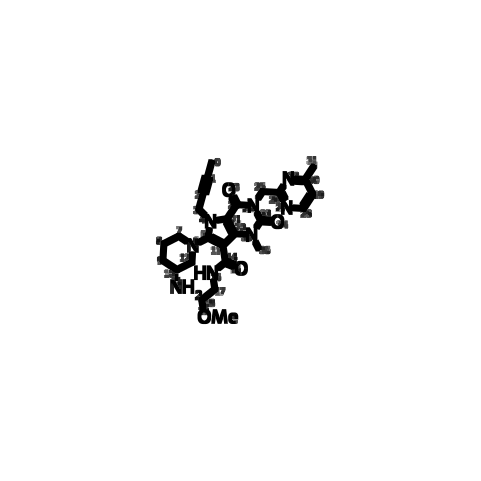 CC#CCn1c(N2CCC[C@@H](N)C2)c(C(=O)NCCOC)c2c1c(=O)n(Cc1nccc(C)n1)c(=O)n2C